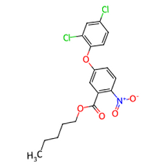 CCCCCOC(=O)c1cc(Oc2ccc(Cl)cc2Cl)ccc1[N+](=O)[O-]